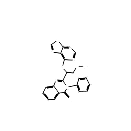 CC(C)(C)OCC(Nc1ncnc2[nH]cnc12)c1nc2ccccc2c(=O)n1-c1ccccc1